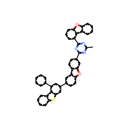 Cc1nc(-c2ccc3c(c2)oc2ccc(-c4cc(-c5ccccc5)c5c(c4)sc4ccccc45)cc23)nc(-c2cccc3oc4ccccc4c23)n1